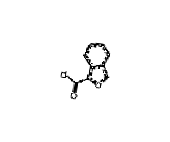 O=C(Cl)c1occ2ccccc12